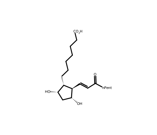 CCCCCC(=O)/C=C/[C@@H]1[C@@H](CCCCCCC(=O)O)[C@@H](O)C[C@H]1O